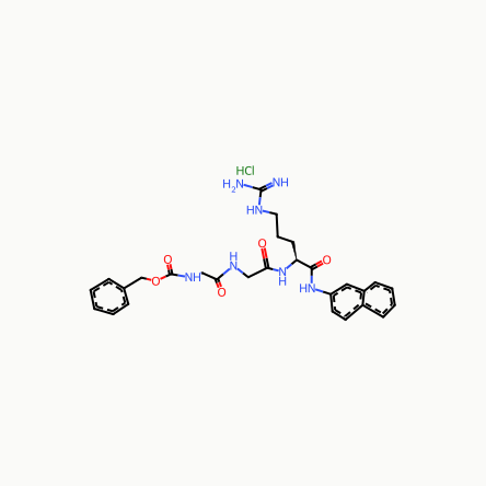 Cl.N=C(N)NCCC[C@H](NC(=O)CNC(=O)CNC(=O)OCc1ccccc1)C(=O)Nc1ccc2ccccc2c1